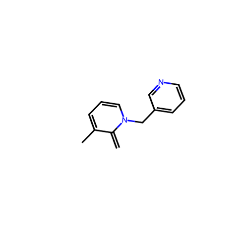 C=C1C(C)=CC=CN1Cc1cccnc1